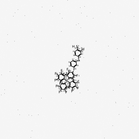 Fc1c(F)c(F)c([B-](c2c(F)c(F)c(F)c(F)c2F)(c2c(F)c(F)c(F)c(F)c2F)c2c(F)c(F)c(F)c(F)c2F)c(F)c1F.[2H]c1cc(Sc2ccccc2)ccc1[SH2+]